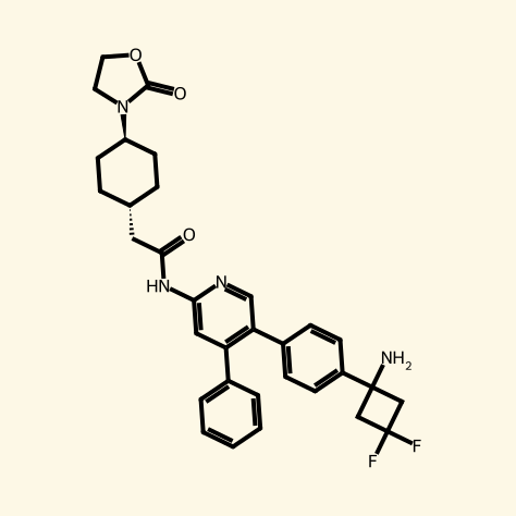 NC1(c2ccc(-c3cnc(NC(=O)C[C@H]4CC[C@H](N5CCOC5=O)CC4)cc3-c3ccccc3)cc2)CC(F)(F)C1